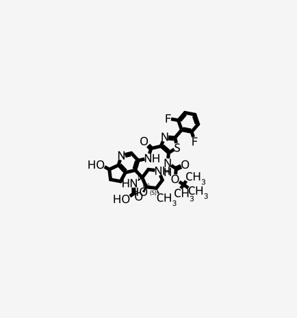 C[C@H]1CNC[C@](NC(=O)O)(c2c(NC(=O)c3nc(-c4c(F)cccc4F)sc3NC(=O)OC(C)(C)C)cnc3c2CCC3O)[C@@H]1O